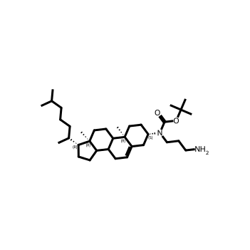 CC(C)CCCC(C)[C@H]1CCC2C3CC=C4C[C@@H](N(CCCN)C(=O)OC(C)(C)C)CC[C@]4(C)C3CC[C@@]21C